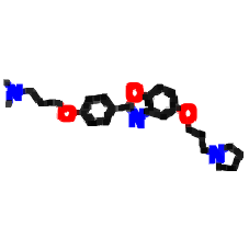 CN(C)CCCOc1ccc(-c2nc3cc(OCCCN4CCCC4)ccc3o2)cc1